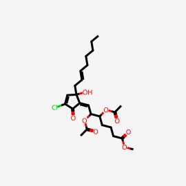 CCCCC/C=C/CC1(O)C=C(Cl)C(=O)/C1=C\C(OC(C)=O)C(CCCC(=O)OC)OC(C)=O